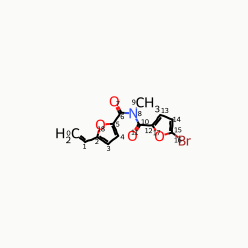 C=Cc1ccc(C(=O)N(C)C(=O)c2ccc(Br)o2)o1